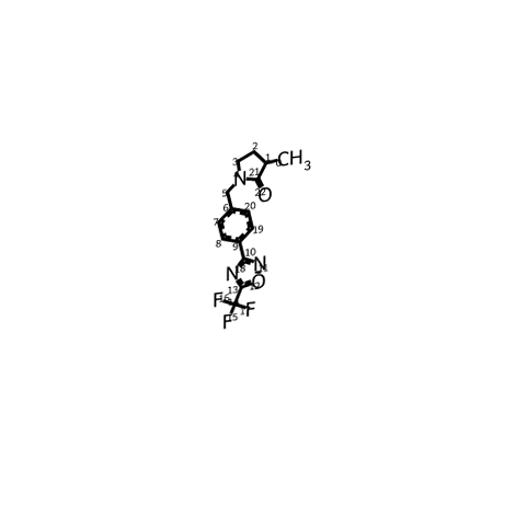 CC1CCN(Cc2ccc(-c3noc(C(F)(F)F)n3)cc2)C1=O